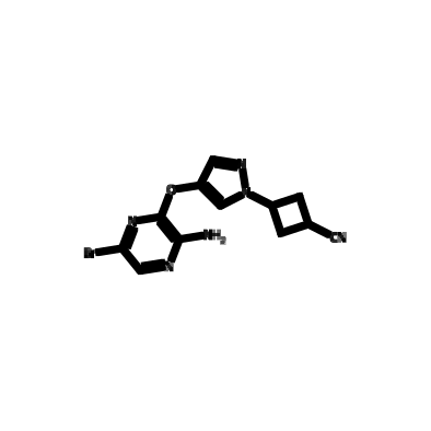 N#CC1CC(n2cc(Oc3nc(Br)cnc3N)cn2)C1